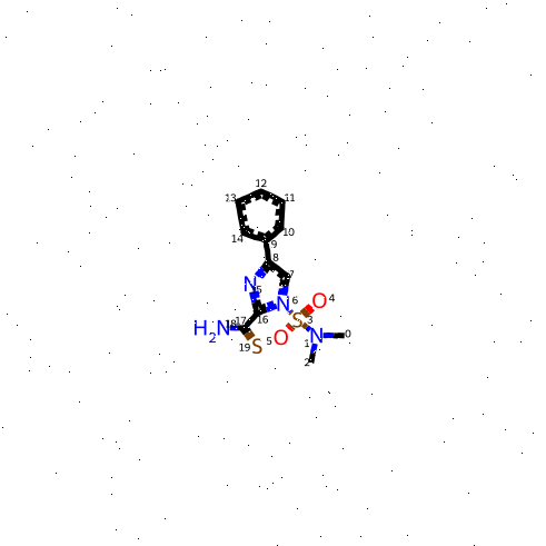 CN(C)S(=O)(=O)n1cc(-c2ccccc2)nc1C(N)=S